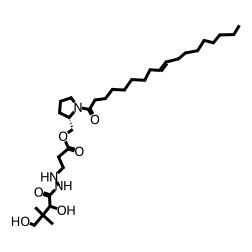 CCCCCCCCC=CCCCCCCCC(=O)N1CCC[C@H]1COC(=O)CCNNC(=O)C(O)C(C)(C)CO